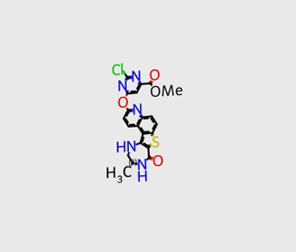 COC(=O)c1cc(Oc2ccc3c(ccc4sc5c(c43)NC[C@@H](C)NC5=O)n2)nc(Cl)n1